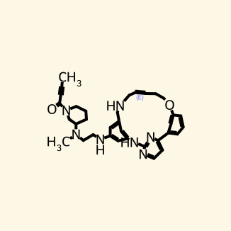 CC#CC(=O)N1CCCC(N(C)CCNc2cc3cc(c2)Nc2nccc(n2)-c2cccc(c2)OCC/C=C/CNC3)C1